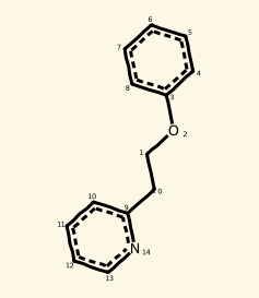 [CH](COc1ccccc1)c1ccccn1